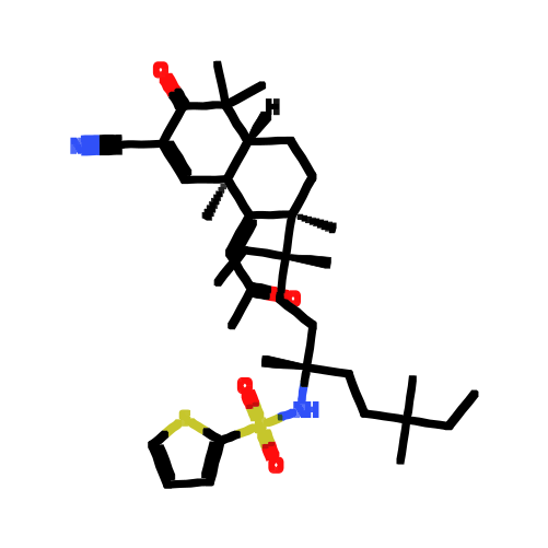 CCC(C)(C)CC[C@@](C)(CC[C@](C)(CC)[C@]1(C)CC[C@H]2C(C)(C)C(=O)C(C#N)=C[C@]2(C)/C1=C/C(C)=O)NS(=O)(=O)c1cccs1